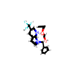 CCOC=O.FC(F)(F)c1cnc2c(ccn2Cc2ccccc2)c1